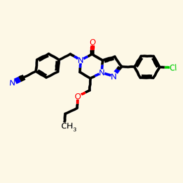 CCCOCC1CN(Cc2ccc(C#N)cc2)C(=O)c2cc(-c3ccc(Cl)cc3)nn21